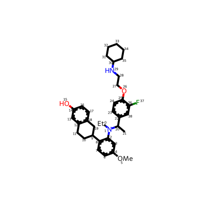 CCN(c1cc(OC)ccc1C1CCc2cc(O)ccc2C1)C(C)c1ccc(OCCNC2CCCCC2)c(F)c1